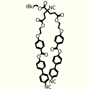 [C-]#[N+]c1ccc(-c2ccc(OC(=O)c3ccc(OCCOC(=O)CCC(CCC(=O)OCCOc4ccc(C(=O)Oc5ccc(-c6ccc([N+]#[C-])cc6)cc5)cc4)([N+]#[C-])C(=O)OCC(C)(C)C)cc3)cc2)cc1